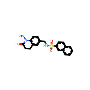 CCCN1C(=O)CCc2cc(CNS(=O)(=O)c3ccc4ccccc4c3)ccc21